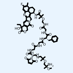 BC(C)(COC(C)(C)CNC[SH](C(=O)NCC(=O)NCC(=O)N[C@@H](Cc1ccccc1)C(=O)NCC(=O)NCOC(C)(C)C(=O)N[C@H]1CCc2c(C)c(F)cc3nc4c(c1c23)Cn1c-4cc2c(c1=O)COC(=O)[C@]2(O)CC)N1C(=O)C=CC1=O)OC